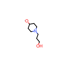 [O]C1CCN(CCCO)CC1